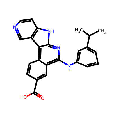 CC(C)c1cccc(Nc2nc3[nH]c4ccncc4c3c3ccc(C(=O)O)cc23)c1